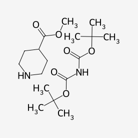 CC(C)(C)OC(=O)NC(=O)OC(C)(C)C.COC(=O)C1CCNCC1